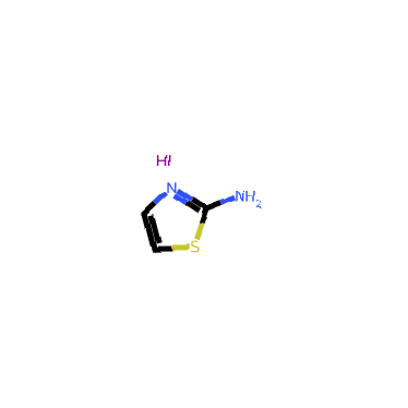 I.Nc1nccs1